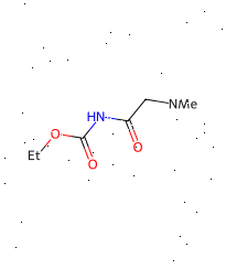 CCOC(=O)NC(=O)CNC